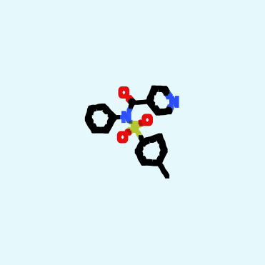 Cc1ccc(S(=O)(=O)N(C(=O)c2ccncc2)c2ccccc2)cc1